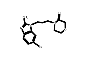 Nc1nc2ccc(Br)cc2n1CCCN1CCOCC1=O